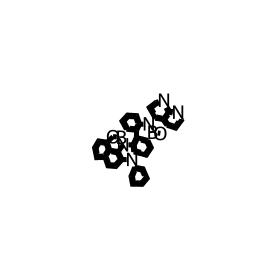 c1ccc(N2c3ccc4c5c3N3B(Oc6cccc7ccc2c3c67)c2cccc(c2-5)N2B4Oc3ccnc4nccc2c34)cc1